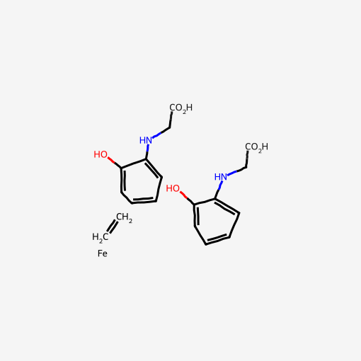 C=C.O=C(O)CNc1ccccc1O.O=C(O)CNc1ccccc1O.[Fe]